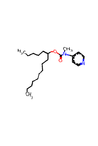 CCCCCCCCCC(CCCCC)OC(=O)N(C)c1ccncc1